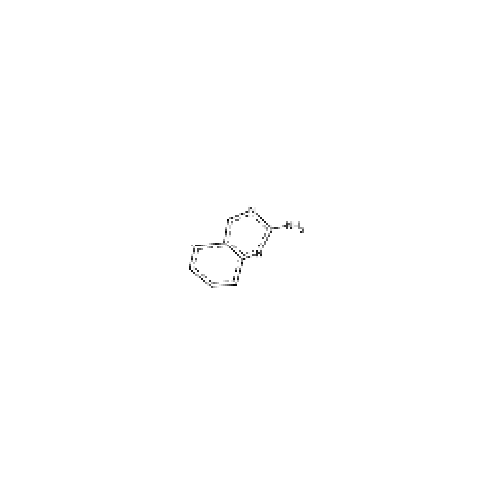 Nc1ncc2[c]cccc2n1